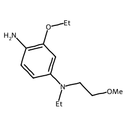 CCOc1cc(N(CC)CCOC)ccc1N